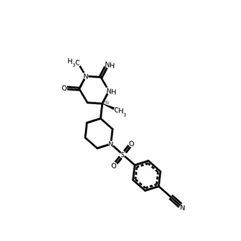 CN1C(=N)N[C@](C)(C2CCCN(S(=O)(=O)c3ccc(C#N)cc3)C2)CC1=O